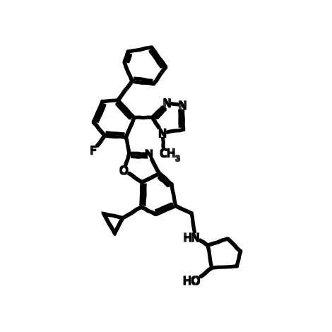 Cn1cnnc1-c1c(-c2ccccc2)ccc(F)c1-c1nc2cc(CNC3CCCC3O)cc(C3CC3)c2o1